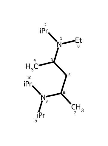 CCN(C(C)C)C(C)CC(C)N(C(C)C)C(C)C